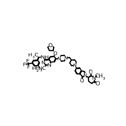 Cc1nc(N[C@H](C)c2cc(N)cc(C(F)(F)F)c2)c2cc(O[C@H]3CCOC3)c(N3CCN(CC4CCN(c5ccc6c(c5)CN(C5CCC(=O)N(C)C5=O)C6=O)CC4)CC3)cc2n1